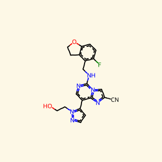 N#Cc1cn2c(NCc3c(F)ccc4c3CCO4)ncc(-c3ccnn3CCO)c2n1